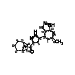 Cc1cc(-c2cc(C(=O)N3C4CCCC3CC4)n[nH]2)c2cn[nH]c2n1